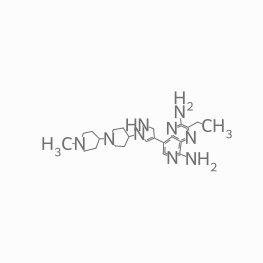 CCc1nc2c(N)ncc(C3=CN(C4CCN(C5CCN(C)CC5)CC4)NC3)c2nc1N